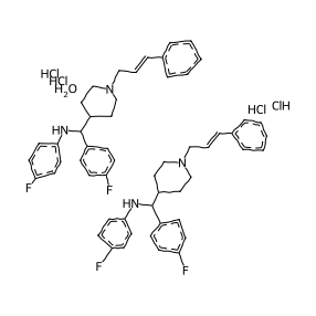 Cl.Cl.Cl.Cl.Fc1ccc(NC(c2ccc(F)cc2)C2CCN(CC=Cc3ccccc3)CC2)cc1.Fc1ccc(NC(c2ccc(F)cc2)C2CCN(CC=Cc3ccccc3)CC2)cc1.O